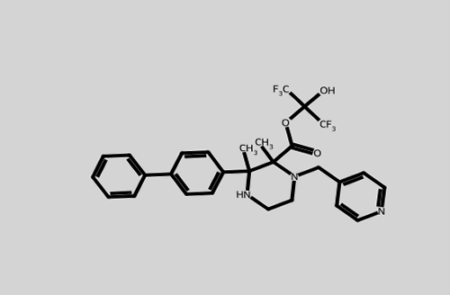 CC1(c2ccc(-c3ccccc3)cc2)NCCN(Cc2ccncc2)C1(C)C(=O)OC(O)(C(F)(F)F)C(F)(F)F